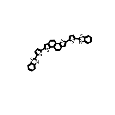 c1ccc2sc(-c3ccc(-c4cc5ccc6c(ccc7cc(-c8ccc(-c9nc%10ccccc%10s9)s8)sc76)c5s4)s3)nc2c1